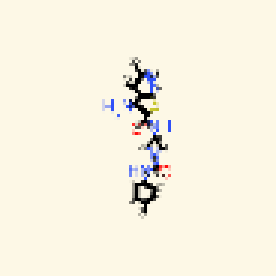 Cc1ccc(NC(=O)N2CC(NC(=O)c3sc4nnc(C)c(C)c4c3N)C2)cc1